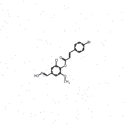 COc1cc(/C=N/O)cc(Cl)c1OC(=O)C=Cc1ccc(Br)cc1